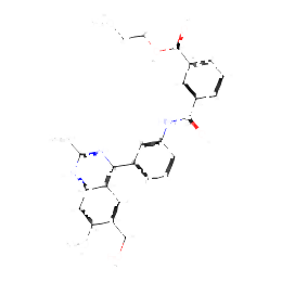 CNc1nc(-c2cccc(NC(=O)c3cccc(C(=O)OCCOC)c3)c2)c2cc(CO)c(OC)cc2n1